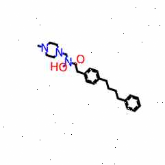 CN1CCN(CN(O)C(=O)Cc2ccc(CCCCc3ccccc3)cc2)CC1